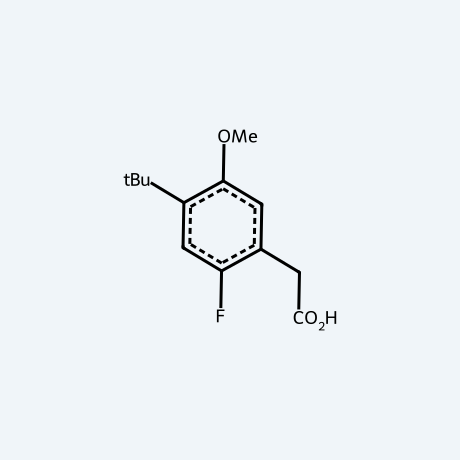 COc1cc(CC(=O)O)c(F)cc1C(C)(C)C